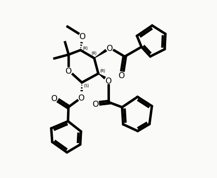 CO[C@@H]1[C@@H](OC(=O)c2ccccc2)[C@@H](OC(=O)c2ccccc2)[C@H](OC(=O)c2ccccc2)OC1(C)C